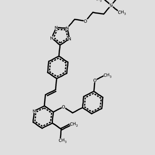 C=C(C)c1ccnc(C=Cc2ccc(-c3nnn(COCC[Si](C)(C)C)n3)cc2)c1OCc1cccc(OC)c1